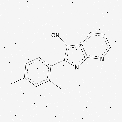 Cc1ccc(-c2nc3ncccn3c2N=O)c(C)c1